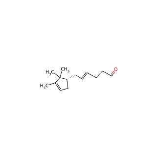 CC1=CC[C@@H](CC=CCCC=O)C1(C)C